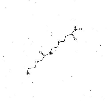 CC(C)CCOCC(=O)NCCOCCC(=O)NC(C)C